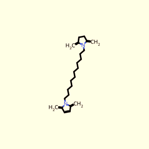 C=C1CCC(=C)N1CCCCCCCCCCCCn1c(=C)ccc1=C